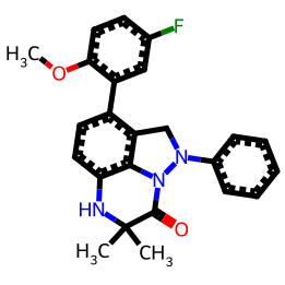 COc1ccc(F)cc1-c1ccc2c3c1CN(c1ccccc1)N3C(=O)C(C)(C)N2